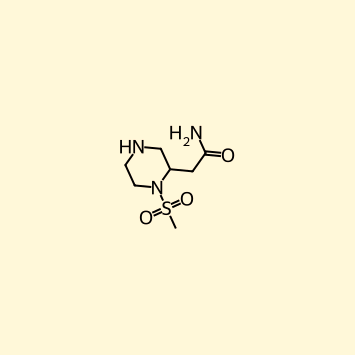 CS(=O)(=O)N1CCNCC1CC(N)=O